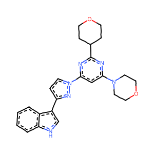 c1ccc2c(-c3ccn(-c4cc(N5CCOCC5)nc(C5CCOCC5)n4)n3)c[nH]c2c1